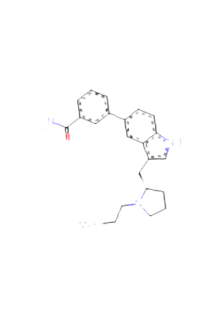 COCCN1CCC[C@@H]1Cc1c[nH]c2ccc(-c3cccc(C(N)=O)c3)cc12